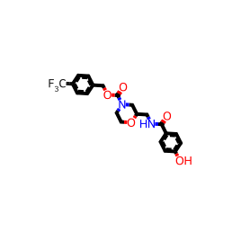 O=C(NCC1CN(C(=O)OCc2ccc(C(F)(F)F)cc2)CCO1)c1ccc(O)cc1